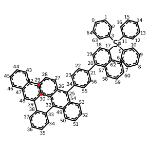 c1ccc([Si](c2ccccc2)(c2ccccc2)c2ccc(-c3ccc(-c4c5ccccc5c(-c5ccccc5-c5ccc6ccccc6c5)c5ccccc45)cc3)c3ccccc23)cc1